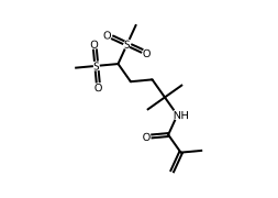 C=C(C)C(=O)NC(C)(C)CCC(S(C)(=O)=O)S(C)(=O)=O